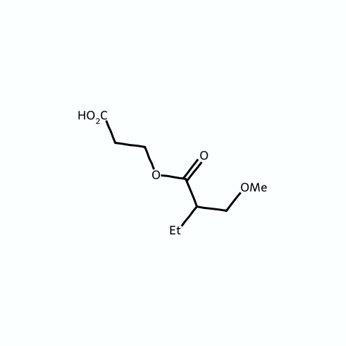 CCC(COC)C(=O)OCCC(=O)O